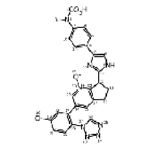 CN(C(=O)O)c1ccc(-c2c[nH]c(C3CCc4cc(-c5cc(Cl)ccc5-n5cnnn5)c[n+]([O-])c43)n2)cc1